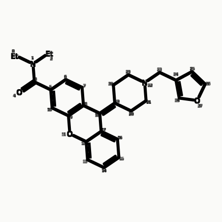 CCN(CC)C(=O)c1ccc2c(c1)Oc1ccccc1C2=C1CCN(Cc2ccoc2)CC1